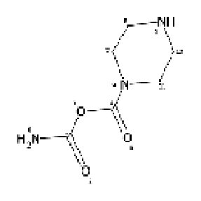 NC(=O)OC(=O)N1CCNCC1